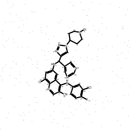 CCN1CCC(n2cc(C(Nc3cc(Cl)c4ncc(C#N)c(Nc5ccc(F)c(Cl)c5)c4c3)c3cncnc3)nn2)CC1